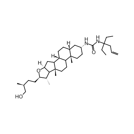 C=CCC(CC)(CC)NC(=O)N[C@@H]1CC[C@]2(C)C3CC[C@@]4(C)C(C[C@@H]5O[C@H](CC[C@H](C)CO)[C@@H](C)C54)[C@@H]3CC[C@@H]2C1